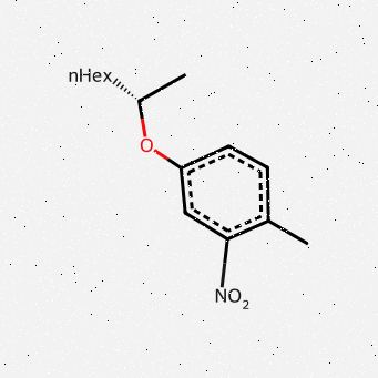 CCCCCC[C@H](C)Oc1ccc(C)c([N+](=O)[O-])c1